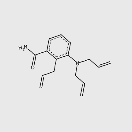 C=CCc1c(C(N)=O)cccc1N(CC=C)CC=C